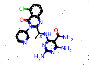 C[C@H](Nc1nc(N)nc(N)c1C(N)=O)c1nc2cccc(Cl)c2c(=O)n1-c1cccnc1